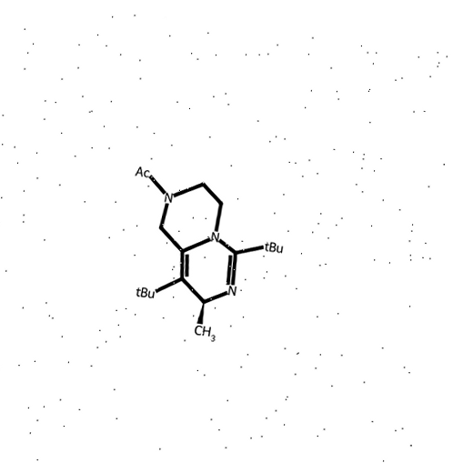 CC(=O)N1CCN2C(C(C)(C)C)=N[C@@H](C)C(C(C)(C)C)=C2C1